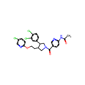 CC(=O)Nc1ccc(C(=O)N2CC(CCOc3ccc(Cl)cn3)C(c3ccc(Cl)c(Cl)c3)C2)cn1